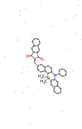 C[Si]1(C)c2cc3ccccc3cc2N(c2ccccc2)c2ccc3cc(C=C4C(=O)c5cc6ccccc6cc5C4=O)ccc3c21